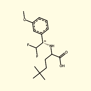 COc1cccc([C@H](NC(CCC(C)(C)C)C(=O)O)C(F)F)c1